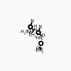 COCC(Nc1ccc(C(=O)NC[C@H]2CC[C@H](C(=O)OC)CC2)cc1C#N)c1cc(C#N)ccc1OC